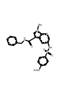 CC(=O)Nc1ccc(S(=O)(=O)Nc2cnc3c(c2)c(C(=O)NCc2ccccc2)cn3C(C)(C)C)cc1